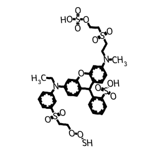 CCN(c1cccc(S(=O)(=O)CCOOS)c1)c1ccc2c(c1)Oc1cc(N(C)CCS(=O)(=O)CCOS(=O)(=O)O)ccc1C2c1ccccc1S(=O)(=O)O